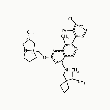 Cc1c(-c2cccc(Cl)c2C(C)C)ncc2c(NCC3(N(C)C)CCC3)nc(OC[C@@]34CCCN3C[C@H](C)C4)nc12